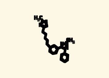 Cc1nc(CCC/C=C/c2cccc(-c3nn(C)nc3-c3ccccc3)c2)cs1